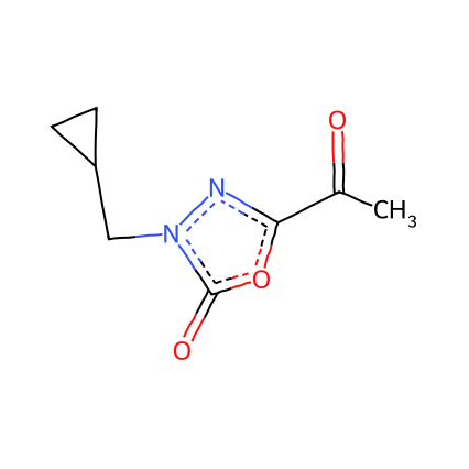 CC(=O)c1nn(CC2CC2)c(=O)o1